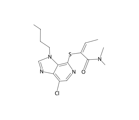 CC=C(Sc1ncc(Cl)c2ncn(CCCC)c12)C(=O)N(C)C